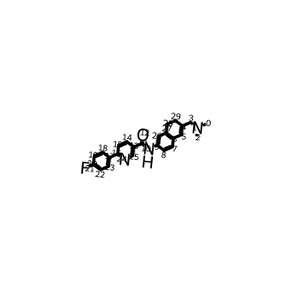 CN(C)CC1=Cc2ccc(NC(=O)c3ccc(-c4ccc(F)cc4)nc3)cc2CC1